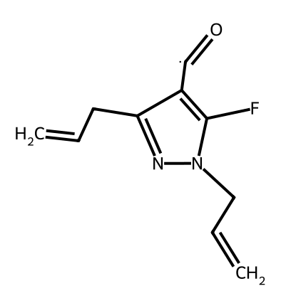 C=CCc1nn(CC=C)c(F)c1[C]=O